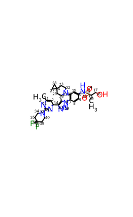 Cc1cc(-c2cn(-c3ccc(NS(=O)(=O)[C@@H](C)CO)cc3N3CCC4(CC3)CC4)nn2)nc(N2CCC(F)(F)CC2)n1